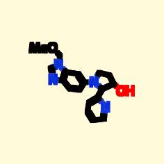 COCn1cnc2ccc(N3CCC(O)C3c3ccccn3)cc21